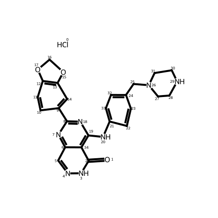 Cl.O=c1[nH]ncc2nc(-c3ccc4c(c3)OCO4)nc(Nc3ccc(CN4CCNCC4)cc3)c12